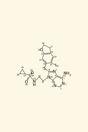 Nc1ncnc2c1nc(Sc1cc3c(cc1I)CCO3)n2CCNS(=O)(=O)C1CC1